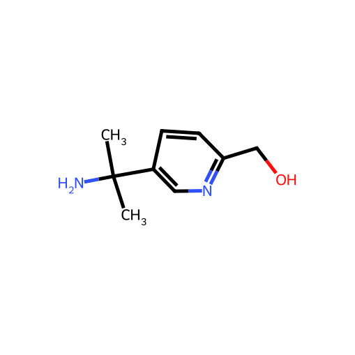 CC(C)(N)c1ccc(CO)nc1